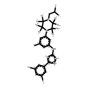 [2H]C1([2H])N(CC(F)F)C([2H])([2H])C([2H])([2H])N(c2cc(C)cc(Nc3n[nH]c(-c4cc(F)cc(F)c4)n3)c2)C1([2H])[2H]